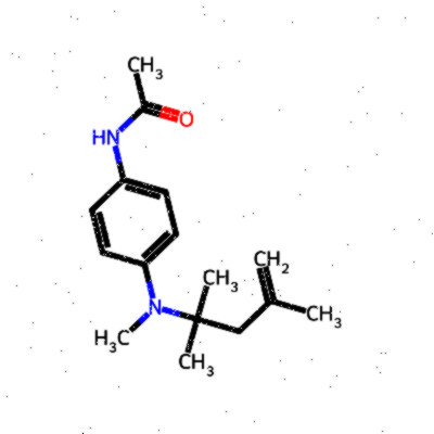 C=C(C)CC(C)(C)N(C)c1ccc(NC(C)=O)cc1